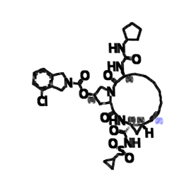 O=C(NC1CCCC1)N[C@H]1CCCCC/C=C\[C@@H]2C[C@@]2(C(=O)NS(=O)(=O)C2CC2)NC(=O)C2C[C@@H](OC(=O)N3Cc4cccc(Cl)c4C3)CN2C1=O